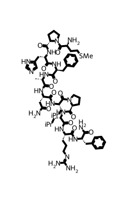 CSCC[C@H](N)C(=O)N1CCC[C@H]1C(=O)N[C@@H](Cc1cnc[nH]1)C(=O)N[C@@H](Cc1ccccc1)C(=O)N[C@@H](C)C(=O)N[C@@H](CC(N)=O)C(=O)N[C@@H](CC(C)C)C(=O)N1CCC[C@H]1C(=O)N[C@@H](CC(C)C)C(=O)N[C@@H](CCCN=C(N)N)C(=O)N[C@@H](Cc1ccccc1)C(N)=O